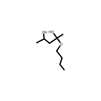 CCCCOC(C)(O)CC(C)O